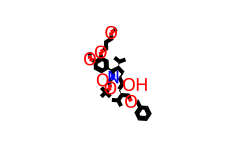 COCCCOc1cc([C@H]2[C@H](C(C)C)C[C@@H]([C@@H](O)C[C@H](COCc3ccccc3)C(C)C)N2C(=O)OC(C)(C)C)ccc1OC